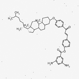 CC(C)CCC[C@@H](C)[C@H]1CCC2C3CCC4CC(Oc5ccc(C(=O)C=Cc6ccc(OC(=O)c7cc(N)cc(N)c7)cc6)cc5)CC[C@]4(C)C3CC[C@@]21C